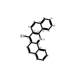 CCc1c2ccc3ccccc3c2nc2c1ccc1ccccc12